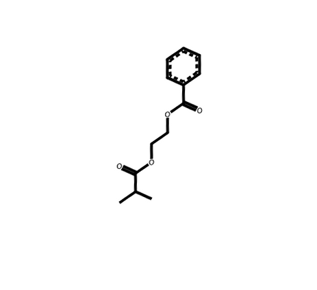 CC(C)C(=O)OCCOC(=O)c1ccccc1